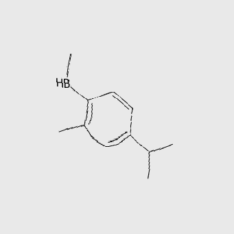 CBc1ccc(C(C)C)cc1C